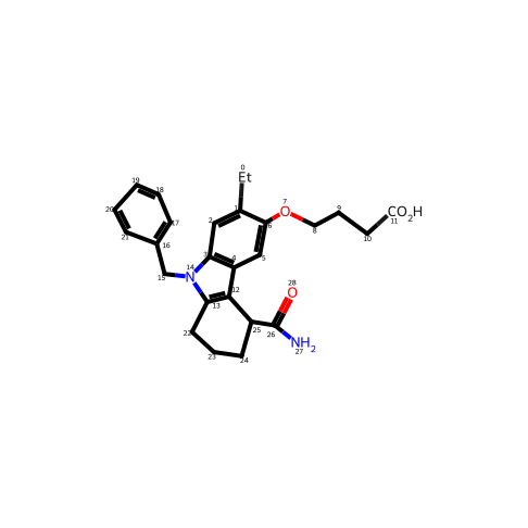 CCc1cc2c(cc1OCCCC(=O)O)c1c(n2Cc2ccccc2)CCCC1C(N)=O